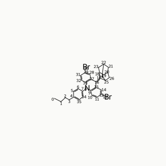 CCCCc1ccc(N2c3ccc(Br)cc3C(=C3C4CC5CC(C4)CC3C5)c3cc(Br)ccc32)cc1